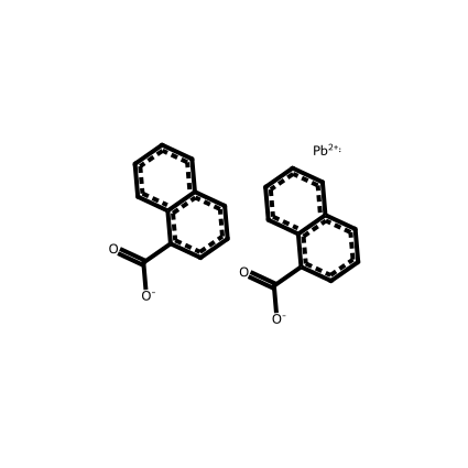 O=C([O-])c1cccc2ccccc12.O=C([O-])c1cccc2ccccc12.[Pb+2]